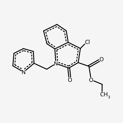 CCOC(=O)c1c(Cl)c2ccccc2n(Cc2ccccn2)c1=O